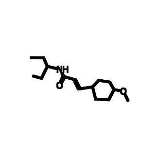 CCC(CC)NC(=O)/C=C/C1CCC(OC)CC1